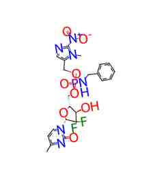 Cc1ccn([C@@H]2O[C@H](COP(=O)(NCc3ccccc3)OCc3cnc([N+](=O)[O-])n3C)[C@@H](O)C2(F)F)c(=O)n1